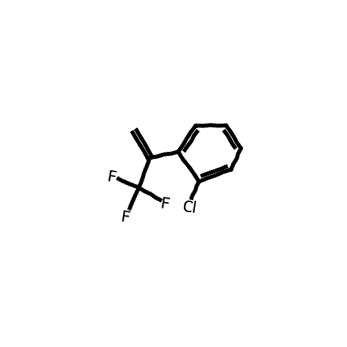 C=C(c1ccccc1Cl)C(F)(F)F